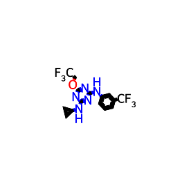 FC(F)(F)COc1nc(Nc2cccc(C(F)(F)F)c2)nc(NC2CC2)n1